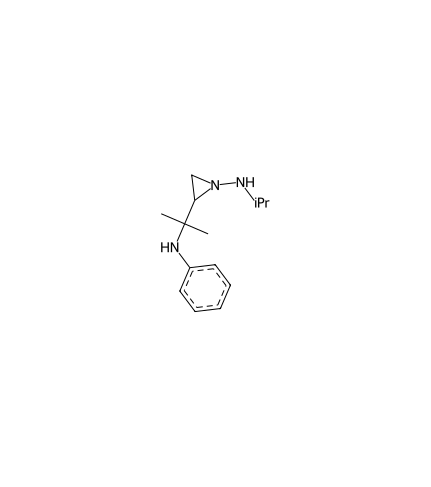 CC(C)NN1CC1C(C)(C)Nc1ccccc1